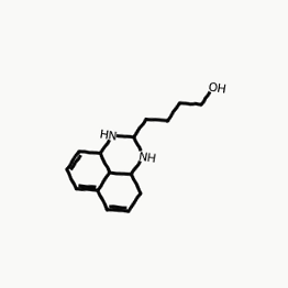 OCCCCC1NC2C=CC=C3C=CCC(N1)C32